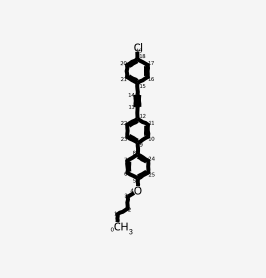 CCCCOc1ccc(-c2ccc(C#Cc3ccc(Cl)cc3)cc2)cc1